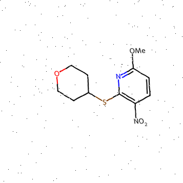 COc1ccc([N+](=O)[O-])c(SC2CCOCC2)n1